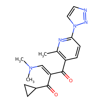 Cc1nc(-n2ccnn2)ccc1C(=O)C(=CN(C)C)C(=O)C1CC1